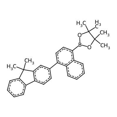 CC1(C)c2ccccc2-c2ccc(-c3ccc(B4OC(C)(C)C(C)(C)O4)c4ccccc34)cc21